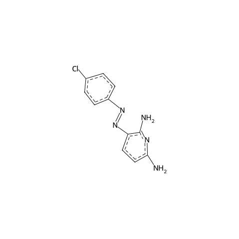 Nc1ccc(N=Nc2ccc(Cl)cc2)c(N)n1